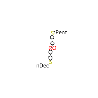 CCCCCCCCCCCCSc1ccc(-c2ccc(OC(=O)c3ccc(-c4ccc(SCCCCC)cc4)cc3)cc2)cc1